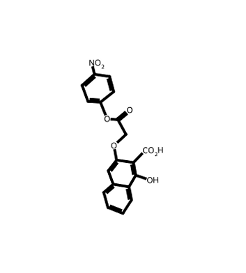 O=C(COc1cc2ccccc2c(O)c1C(=O)O)Oc1ccc([N+](=O)[O-])cc1